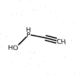 C#CPO